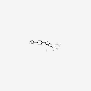 CN1CCC(N(C)c2nc3nnc(-c4ccc(-c5cn[nH]c5)cc4O)cc3s2)CC1.Cl